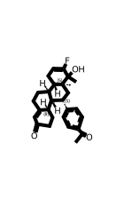 CC(=O)c1ccc([C@H]2C[C@@]3(C)[C@@H](CC=C(F)C3(C)O)[C@@H]3CCC4=CC(=O)CC[C@@H]4[C@H]32)cc1